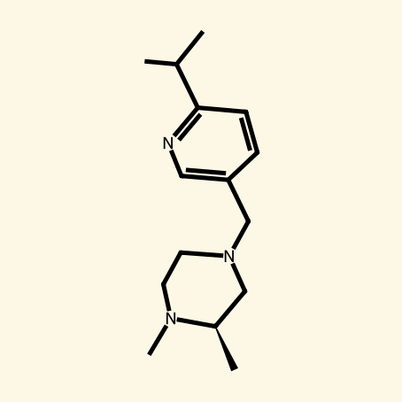 CC(C)c1ccc(CN2CCN(C)[C@H](C)C2)cn1